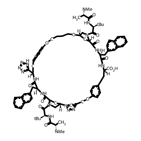 CN[C@@H](C)C(=O)N[C@H](C(=O)N1C[C@@H]2C[C@H]1C(=O)N[C@@H](Cc1ccc3ccccc3c1)C(=O)N[C@H](C(=O)O)Cc1ccc(cc1)OCc1cn(nn1)[C@H]1C[C@@H](C(=O)N[C@@H](Cc3ccc4ccccc4c3)C(=O)N[C@H](c3nnn[nH]3)Cc3ccc(cc3)OCCCCO2)N(C(=O)[C@@H](NC(=O)[C@H](C)NC)C(C)(C)C)C1)C(C)(C)C